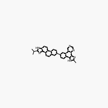 Cc1nc2c3ncncc3c3cc(-c4ccc5c(ccc6c5ccc5[nH]c(C(C)C)nc56)c4)ccc3c2[nH]1